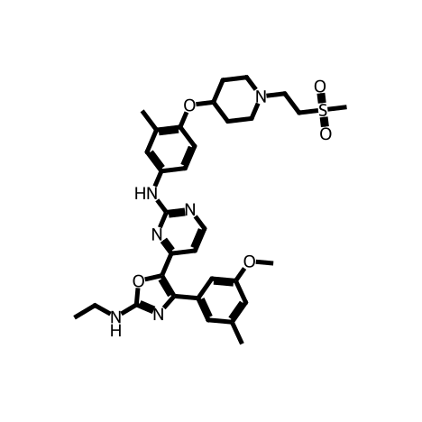 CCNc1nc(-c2cc(C)cc(OC)c2)c(-c2ccnc(Nc3ccc(OC4CCN(CCS(C)(=O)=O)CC4)c(C)c3)n2)o1